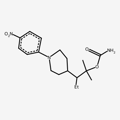 CCC(C1CCN(c2ccc([N+](=O)[O-])cc2)CC1)C(C)(C)OC(N)=O